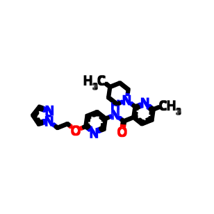 Cc1ccc(C(=O)Nc2ccc(OCCn3cccn3)nc2)c(N2CCC(C)CC2)n1